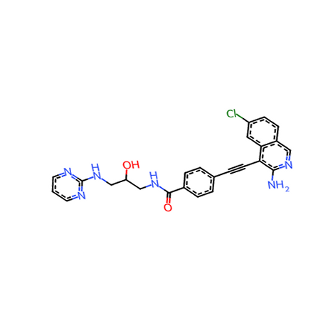 Nc1ncc2ccc(Cl)cc2c1C#Cc1ccc(C(=O)NCC(O)CNc2ncccn2)cc1